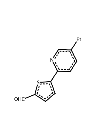 CCc1ccc(-c2ccc(C=O)s2)nc1